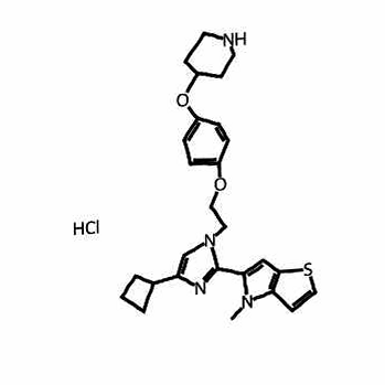 Cl.Cn1c(-c2nc(C3CCC3)cn2CCOc2ccc(OC3CCNCC3)cc2)cc2sccc21